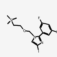 C[Si](C)(C)CCOCn1cc(I)nc1-c1cc(F)cc(F)c1